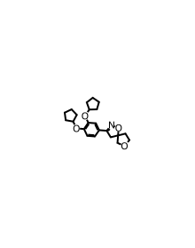 c1cc(OC2CCCC2)c(OC2CCCC2)cc1C1=NOC2(CCOC2)C1